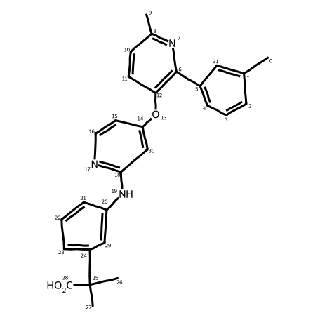 Cc1cccc(-c2nc(C)ccc2Oc2ccnc(Nc3cccc(C(C)(C)C(=O)O)c3)c2)c1